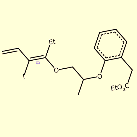 C=C/C(I)=C(\CC)OCC(C)Oc1ccccc1CC(=O)OCC